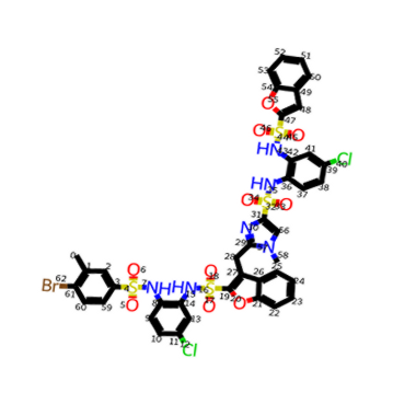 Cc1cc(S(=O)(=O)Nc2ccc(Cl)cc2NS(=O)(=O)c2oc3ccccc3c2Cc2nc(S(=O)(=O)Nc3ccc(Cl)cc3NS(=O)(=O)c3cc4ccccc4o3)cn2C)ccc1Br